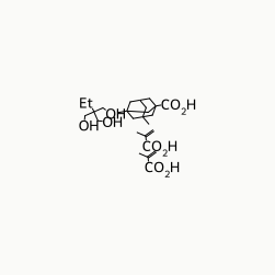 C=C(C)C(=O)O.C=C(C)C(=O)O.CC12CC3CC(C)(C1)CC(C(=O)O)(C3)C2.CCC(CO)(CO)CO